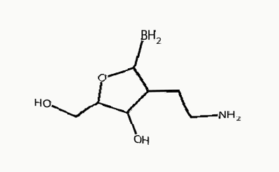 BC1OC(CO)C(O)C1CCN